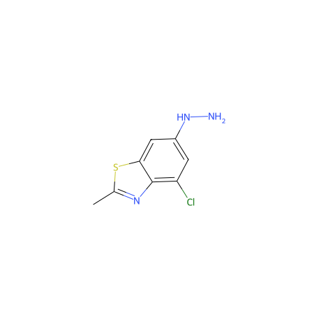 Cc1nc2c(Cl)cc(NN)cc2s1